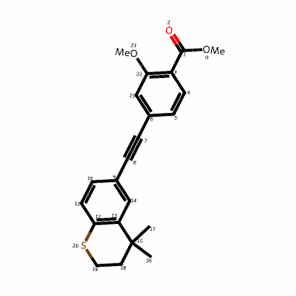 COC(=O)c1ccc(C#Cc2ccc3c(c2)C(C)(C)CCS3)cc1OC